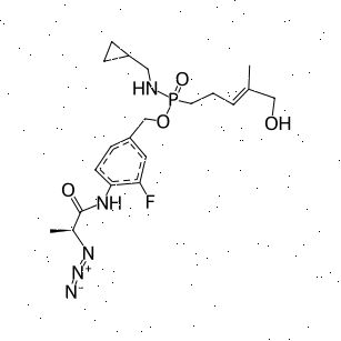 C/C(=C\CCP(=O)(NCC1CC1)OCc1ccc(NC(=O)[C@H](C)N=[N+]=[N-])c(F)c1)CO